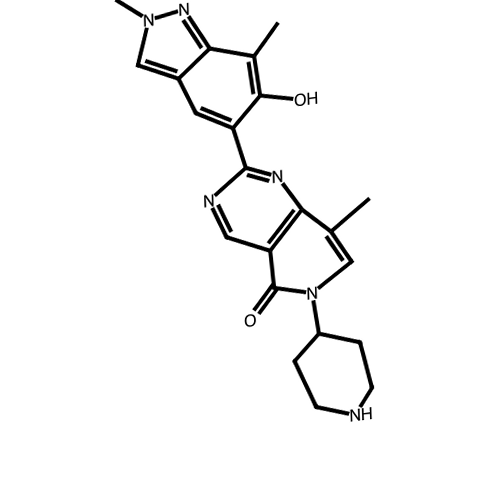 Cc1c(O)c(-c2ncc3c(=O)n(C4CCNCC4)cc(C)c3n2)cc2cn(C)nc12